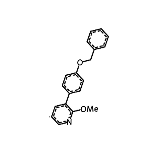 COc1nc[c]cc1-c1ccc(OCc2ccccc2)cc1